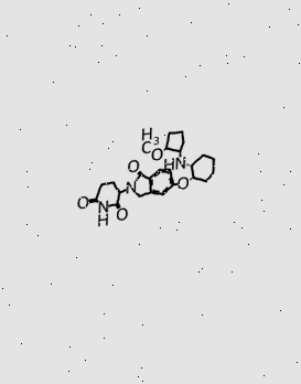 CO[C@@H]1CCC[C@H]1N[C@@H]1CCCC[C@@H]1Oc1ccc2c(c1)CN(C1CCC(=O)NC1=O)C2=O